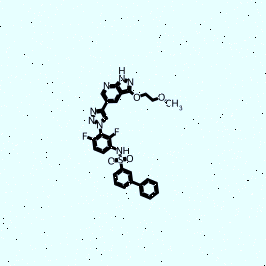 COCCOc1n[nH]c2ncc(-c3cn(-c4c(F)ccc(NS(=O)(=O)c5cccc(-c6ccccc6)c5)c4F)nn3)cc12